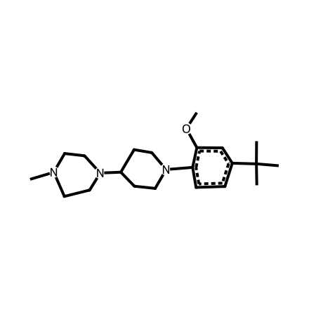 COc1cc(C(C)(C)C)ccc1N1CCC(N2CCN(C)CC2)CC1